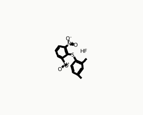 Cc1ccc(Sc2c([N+](=O)[O-])cccc2[N+](=O)[O-])c(C)c1.F